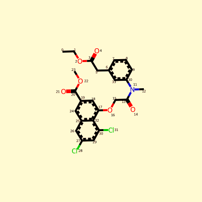 CCOC(=O)Cc1cccc(N(C)C(=O)COc2cc(C(=O)OC)cc3cc(Cl)cc(Cl)c23)c1